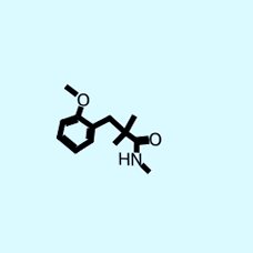 CNC(=O)C(C)(C)Cc1ccccc1OC